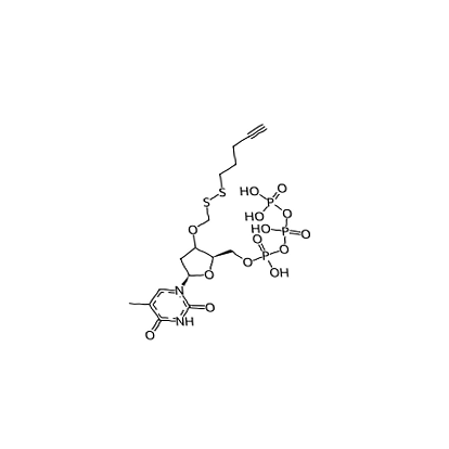 C#CCCCSSCOC1C[C@H](n2cc(C)c(=O)[nH]c2=O)O[C@@H]1COP(=O)(O)OP(=O)(O)OP(=O)(O)O